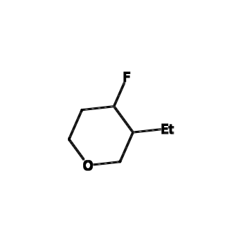 CCC1COCCC1F